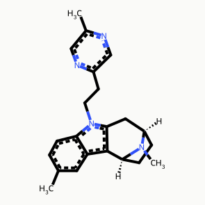 Cc1ccc2c(c1)c1c(n2CCc2cnc(C)cn2)C[C@H]2CC[C@@H]1N2C